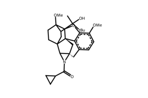 COc1ccc2c3c1OC1C4(OC)CCC5(CC4C(C)(O)C(C)(C)C)C4N(C(=O)C6CC6)[C@]4(C2)C[C@]315